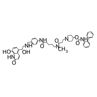 CN(CCCCC(=O)Nc1ccc(CNC[C@H](O)c2ccc(O)c3[nH]c(=O)ccc23)cc1)C(=O)CCN1CCC(OC(=O)Nc2ccccc2-c2ccccc2)CC1